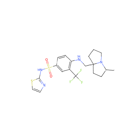 CC1CCC2(CNc3ccc(S(=O)(=O)Nc4nccs4)cc3C(F)(F)F)CCCN12